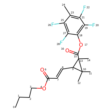 CCCCOC(=O)C=CC1C(C)(C)C1(C)C(=O)Oc1c(F)c(F)c(C)c(F)c1F